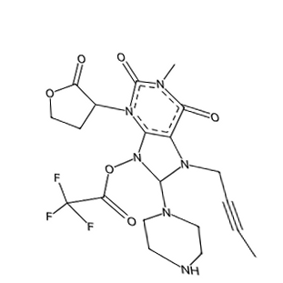 CC#CCN1c2c(n(C3CCOC3=O)c(=O)n(C)c2=O)N(OC(=O)C(F)(F)F)C1N1CCNCC1